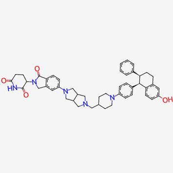 O=C1CCC(N2Cc3cc(N4CC5CN(CC6CCN(c7ccc([C@@H]8c9ccc(O)cc9CC[C@@H]8c8ccccc8)cc7)CC6)CC5C4)ccc3C2=O)C(=O)N1